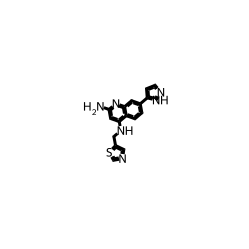 Nc1cc(NCc2cncs2)c2ccc(-c3ccn[nH]3)cc2n1